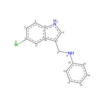 Brc1ccc2[nH]cc(CNc3ccccc3)c2c1